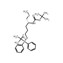 CSC[C@@H](CCCO[Si](c1ccccc1)(c1ccccc1)C(C)(C)C)NC(=O)OC(C)(C)C